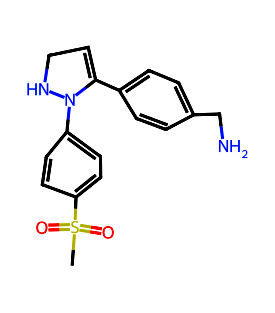 CS(=O)(=O)c1ccc(N2NCC=C2c2ccc(CN)cc2)cc1